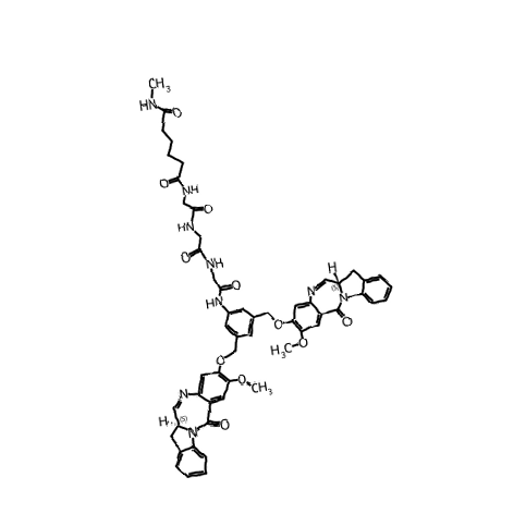 CNC(=O)CCCCC(=O)NCC(=O)NCC(=O)NCC(=O)Nc1cc(COc2cc3c(cc2OC)C(=O)N2c4ccccc4C[C@H]2C=N3)cc(COc2cc3c(cc2OC)C(=O)N2c4ccccc4C[C@H]2C=N3)c1